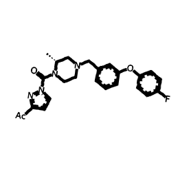 CC(=O)c1ccn(C(=O)N2CCN(Cc3cccc(Oc4ccc(F)cc4)c3)C[C@H]2C)n1